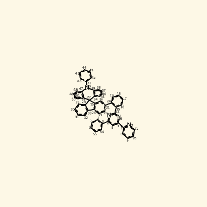 c1ccc(-c2cc(-c3ccccn3)nc(-c3ccccc3-c3ccc4c(c3)C3(c5ccccc5-4)c4ccccc4N(c4ccccc4)c4ccccc43)n2)cc1